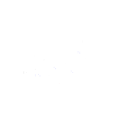 Cn1c(=O)c(N2C(=O)NC(C)(C)C2=O)nc2ccccc21